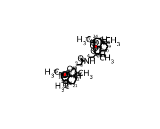 C[C@H]1[C@@H](CCNC(=O)CC[C@H]2O[C@@H]3O[C@]4(C)CC[C@H]5[C@H](C)CC[C@@H]([C@H]2C)[C@@]35OO4)O[C@@H]2O[C@]3(C)CC[C@H]4[C@H](C)CC[C@@H]1[C@@]24OO3